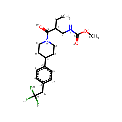 CCC(CNC(=O)OC)C(=O)N1CCC(c2ccc(CC(F)(F)F)cc2)CC1